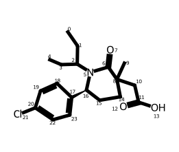 CCC(CC)N1C(=O)C(C)(CC(=O)O)CC[C@H]1c1ccc(Cl)cc1